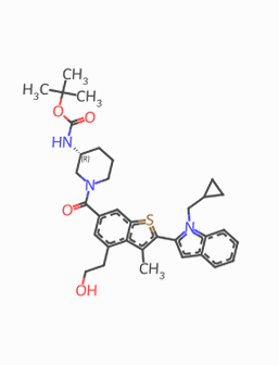 Cc1c(-c2cc3ccccc3n2CC2CC2)sc2cc(C(=O)N3CCC[C@@H](NC(=O)OC(C)(C)C)C3)cc(CCO)c12